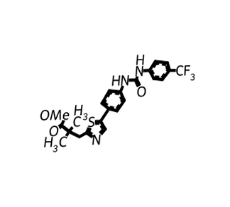 COC(=O)C(C)(C)Cc1ncc(-c2ccc(NC(=O)Nc3ccc(C(F)(F)F)cc3)cc2)s1